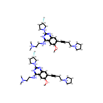 COc1cc2c(NCCN(C)C)nc(N3CC[C@H](F)C3)nc2cc1C#CCCN1CCCC1.COc1cc2c(NCCN(C)C)nc(N3CC[C@H](F)C3)nc2cc1C#CCCN1CCCC1